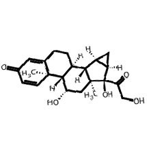 C[C@]12C=CC(=O)C=C1CC[C@@H]1[C@@H]2[C@@H](O)C[C@@]2(C)[C@H]1[C@H]1C[C@H]1[C@]2(O)C(=O)CO